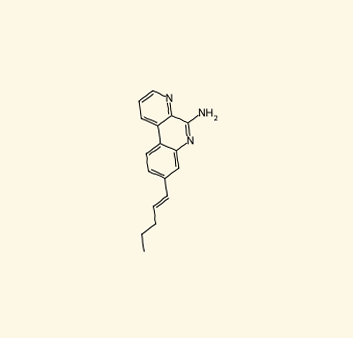 CCCC=Cc1ccc2c(c1)nc(N)c1ncccc12